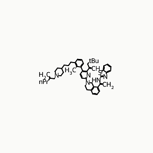 C=C(CCC)CN1CCC(CCCc2cccc(-c3ccc(N4CCc5cccc(C(=C)Nc6nc7ccccc7s6)c5C4)nc3C(=C)CC(C)(C)C)c2C)CC1